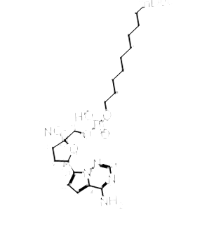 CCCCCCCCCCCCCCCCCCCOP(=O)(O)OC[C@]1(C#N)CC[C@H](c2ccc3c(N)ncnn23)O1